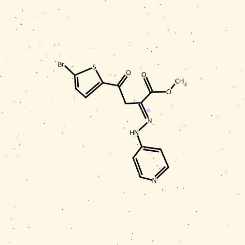 COC(=O)/C(CC(=O)c1ccc(Br)s1)=N/Nc1ccncc1